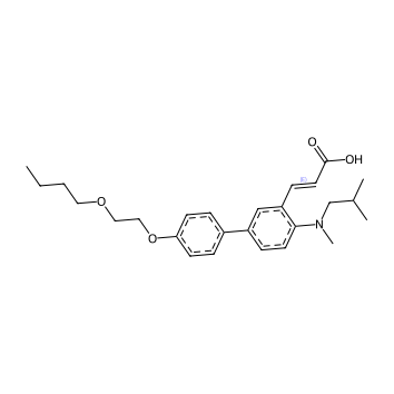 CCCCOCCOc1ccc(-c2ccc(N(C)CC(C)C)c(/C=C/C(=O)O)c2)cc1